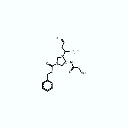 C=CCC(C(=O)OCC)[C@@H]1CN(C(=O)OCc2ccccc2)C[C@H]1NC(=O)OC(C)(C)C